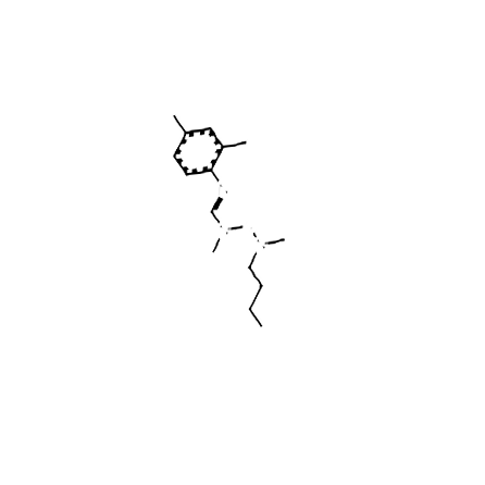 CCCCN(C)SN(C)C=Nc1ccc(C)cc1C